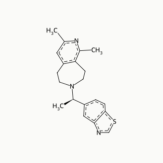 Cc1cc2c(c(C)n1)CCN([C@H](C)c1ccc3scnc3c1)CC2